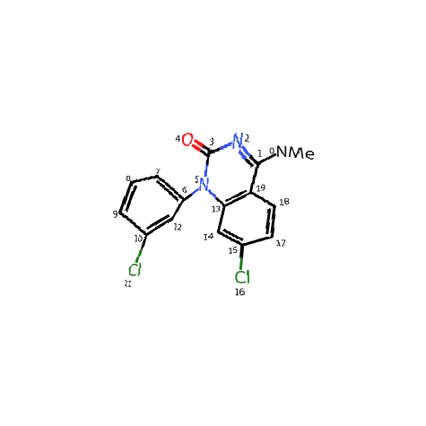 CNc1nc(=O)n(-c2cccc(Cl)c2)c2cc(Cl)ccc12